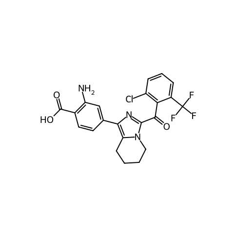 Nc1cc(-c2nc(C(=O)c3c(Cl)cccc3C(F)(F)F)n3c2CCCC3)ccc1C(=O)O